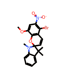 COc1cc([N+](=O)[O-])c(Br)c2c1OC1(C=C2)N(C)c2ccccc2C1(C)C